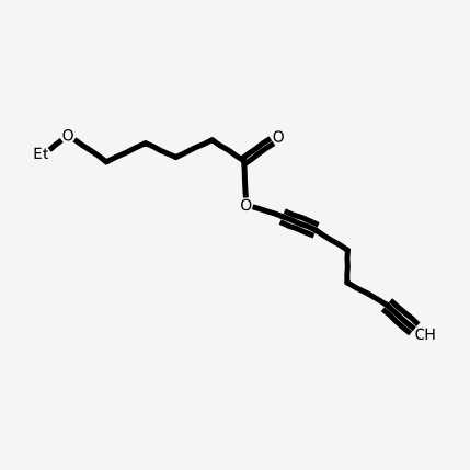 C#CCCC#COC(=O)CCCCOCC